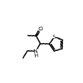 CCNC(C(C)=O)c1cccs1